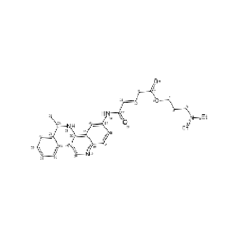 CCN(CC)CCCOC(=O)CC=CC(=O)Nc1ccc2ncnc(NC(C)c3ccccc3)c2c1